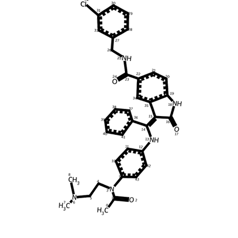 CC(=O)N(CCN(C)C)c1ccc(N/C(=C2\C(=O)Nc3ccc(C(=O)NCc4cccc(Cl)c4)cc32)c2ccccc2)cc1